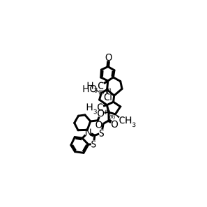 C[C@@H]1CC2C3CCC4=CC(=O)C=CC4(C)[C@@]3(Cl)[C@@H](O)CC2(C)[C@@]1(OC(=O)C1CCCCC1)C(=O)CSc1nc2ccccc2s1